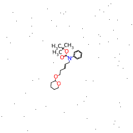 CC(C)(C)OC(=O)N(CC=CCCOC1CCCCO1)c1ccccc1